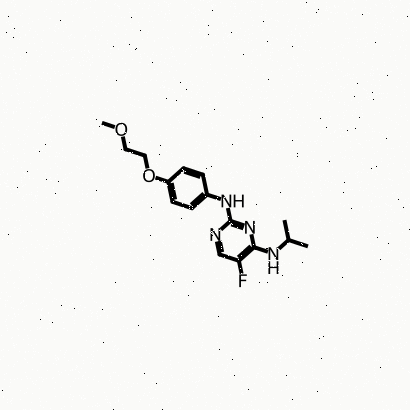 COCCOc1ccc(Nc2ncc(F)c(NC(C)C)n2)cc1